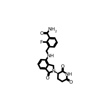 NC(=O)c1cccc(CNc2cccc3c2CN([C@@H]2CCC(=O)NC2=O)C3=O)c1F